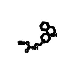 CC(C)(C)OC(=O)NCCN1CCC2(CC1)NCCc1ccccc12